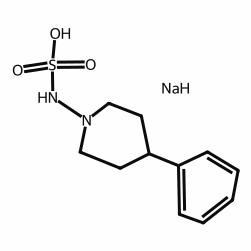 O=S(=O)(O)NN1CCC(c2ccccc2)CC1.[NaH]